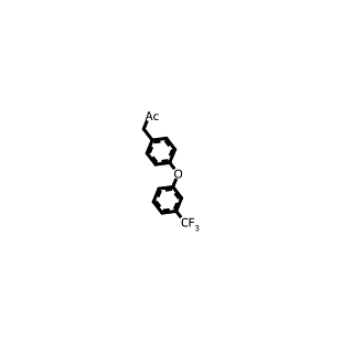 CC(=O)Cc1ccc(Oc2cccc(C(F)(F)F)c2)cc1